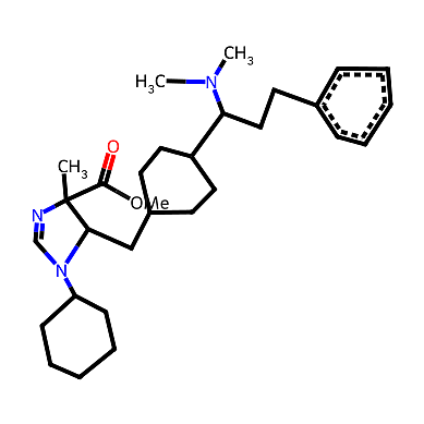 COC(=O)C1(C)N=CN(C2CCCCC2)C1CC1CCC(C(CCc2ccccc2)N(C)C)CC1